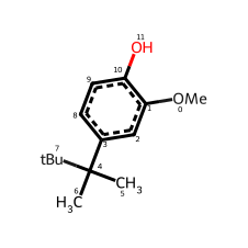 COc1cc(C(C)(C)C(C)(C)C)ccc1O